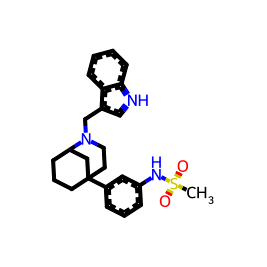 CS(=O)(=O)Nc1cccc(C23CCCC(C2)N(Cc2c[nH]c4ccccc24)CC3)c1